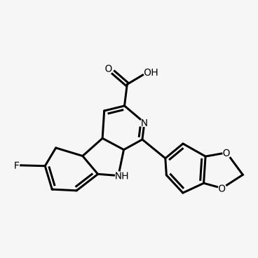 O=C(O)C1=CC2C3CC(F)=CC=C3NC2C(c2ccc3c(c2)OCO3)=N1